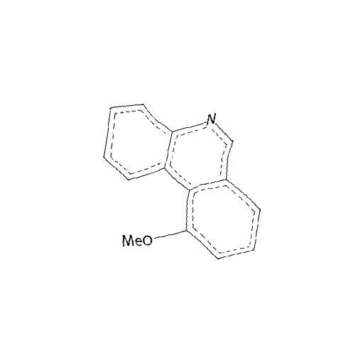 COc1cccc2cnc3ccccc3c12